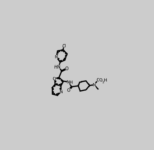 CN(C(=O)O)C1CCC(C(=O)Nc2c(C(=O)Nc3ccc(Cl)cn3)oc3cccnc23)CC1